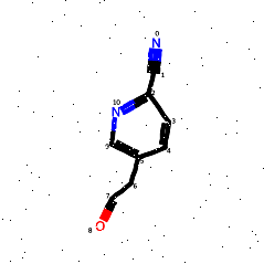 N#Cc1ccc(CC=O)cn1